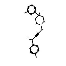 OC(C#CCN1CCC(O)(c2cccc(C(F)(F)F)c2)CC1)c1ccc(F)cc1